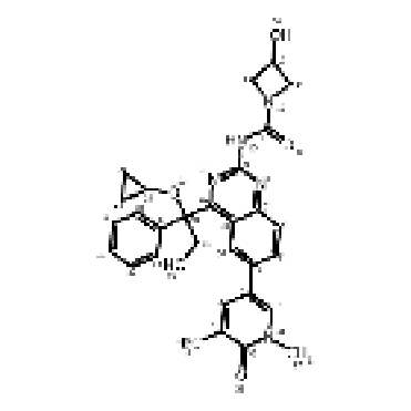 Cc1cc(-c2ccc3nc(NC(=O)N4CC(O)C4)nc(C(CO)(OC4CC4)c4ccccc4)c3c2)cn(C)c1=O